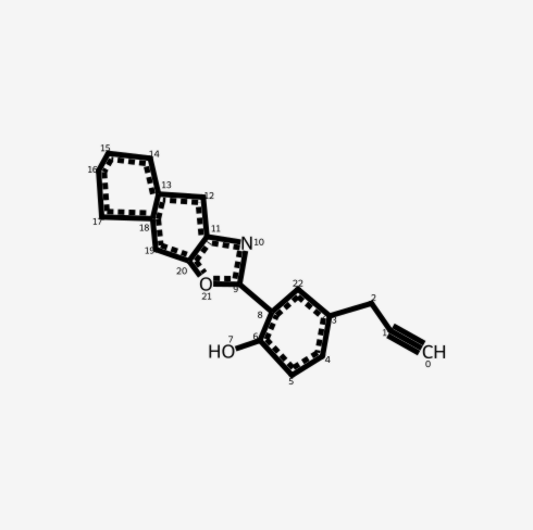 C#CCc1ccc(O)c(-c2nc3cc4ccccc4cc3o2)c1